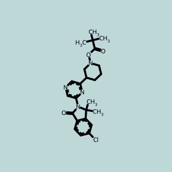 CC(C)(C)C(=O)ON1CCCC(c2cncc(N3C(=O)c4ccc(Cl)cc4C3(C)C)n2)C1